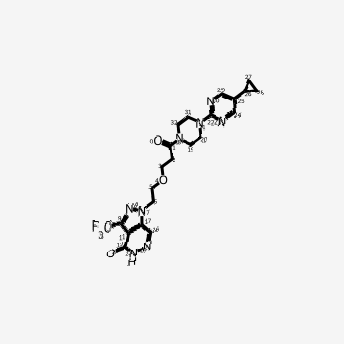 O=C(CCOCCn1nc(C(F)(F)F)c2c(=O)[nH]ncc21)N1CCN(c2ncc(C3CC3)cn2)CC1